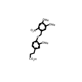 COc1cc(COc2ccc(CCC(=O)O)cc2OC)c([N+](=O)[O-])cc1OC